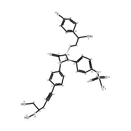 CC(=O)OC(CC[C@H]1C(=O)N(c2ccc(C#CCC(CO)CO)cc2)[C@@H]1c1ccc(OS(=O)(=O)C(F)(F)F)cc1)c1ccc(F)cc1